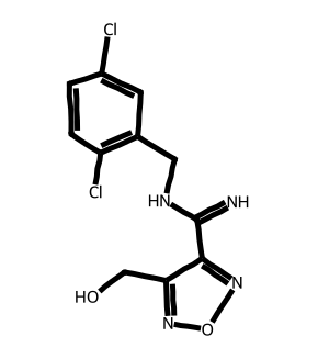 N=C(NCc1cc(Cl)ccc1Cl)c1nonc1CO